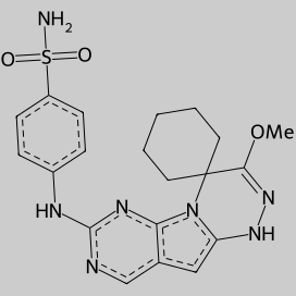 COC1=NNc2cc3cnc(Nc4ccc(S(N)(=O)=O)cc4)nc3n2C12CCCCC2